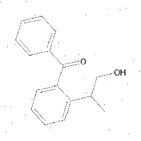 CC(CO)c1ccccc1C(=O)c1ccccc1